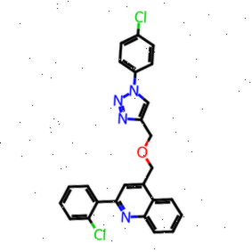 Clc1ccc(-n2cc(COCc3cc(-c4ccccc4Cl)nc4ccccc34)nn2)cc1